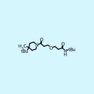 CC(C)(C)NC(=O)CCOCCC(=O)N1CCC(C)(C(C)(C)C)CC1